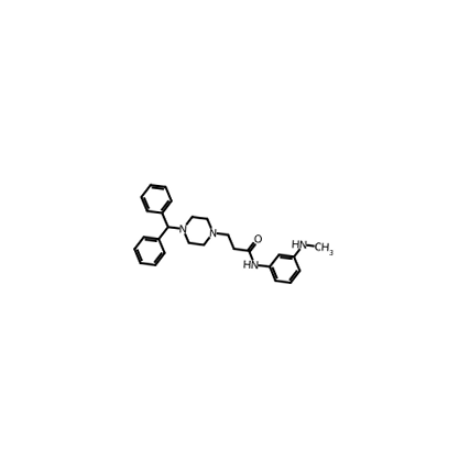 CNc1cccc(NC(=O)CCN2CCN(C(c3ccccc3)c3ccccc3)CC2)c1